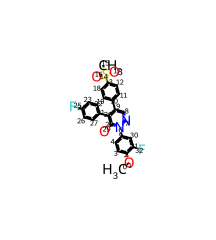 COc1ccc(-n2ncc(-c3ccc(S(C)(=O)=O)cc3)c(-c3ccc(F)cc3)c2=O)cc1F